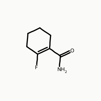 NC(=O)C1=C(F)CCCC1